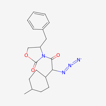 CC1CCC(C(N=[N+]=[N-])C(=O)N2C(=O)OCC2Cc2ccccc2)CC1